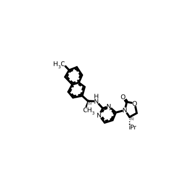 Cc1ccc2cc([C@H](C)Nc3nccc(N4C(=O)OC[C@@H]4C(C)C)n3)ccc2c1